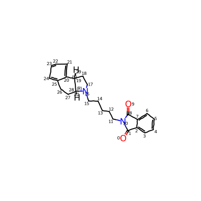 O=C1c2ccccc2C(=O)N1CCCCCN1CC[C@H]2c3ccccc3CC[C@H]21